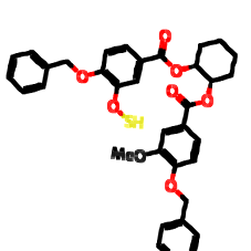 COc1cc(C(=O)O[C@@H]2CCCC[C@@H]2OC(=O)c2ccc(OCc3ccccc3)c(OS)c2)ccc1OCc1ccccc1